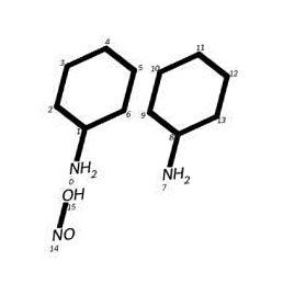 NC1CCCCC1.NC1CCCCC1.O=NO